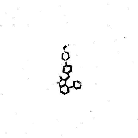 O=CN1CCN(c2ccc(C=C3C(=O)Nc4cccc(-c5ccncc5)c43)cc2)CC1